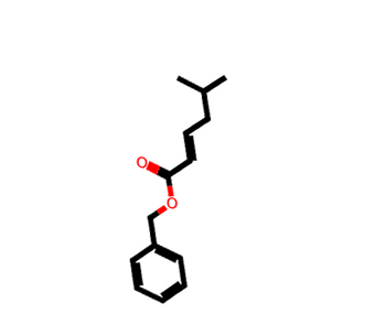 CC(C)CC=CC(=O)OCc1ccccc1